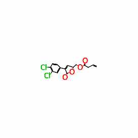 C=CCC(=O)OCC1C=C(c2ccc(Cl)c(Cl)c2)C(=O)O1